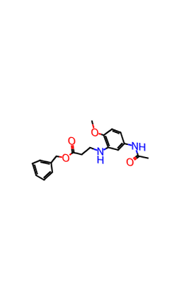 COc1ccc(NC(C)=O)cc1NCCC(=O)OCc1ccccc1